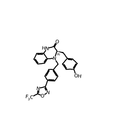 O=C1Nc2ccccc2N(Cc2ccc(-c3noc(C(F)(F)F)n3)cc2)[C@@H]1Cc1ccc(O)cc1